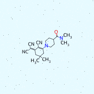 CN(C)C(=O)C1CCN(C2=C(C#N)C(=C(C#N)C#N)CC(C)(C)C2)CC1